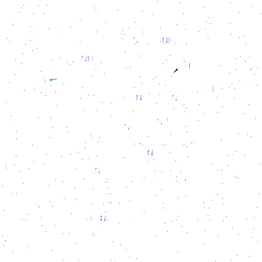 CCN(c1nc(OC[C@@H]2C[C@@H](F)CN2)nc(N2CC3(C2)SCc2sc(N)c(C#N)c23)n1)[C@H](C)c1cccnc1N